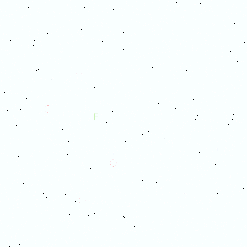 C=CC(=O)OC(F)=C(C)C(=O)OCc1ccccc1